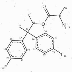 CC(N)C(=O)OC(C)C(C)(c1ccc(F)cc1)c1ccc(F)cc1